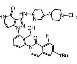 CN1CCN(c2ccc(Nc3nn(-c4cccc(-n5ccc6cc(C(C)(C)C)cc(F)c6c5=O)c4CO)c4cc[nH]c(=O)c34)nc2)CC1